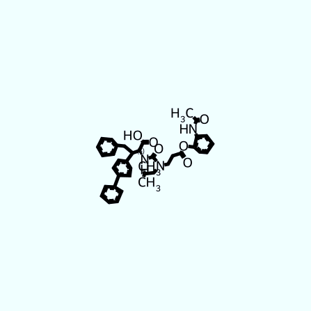 CC(=O)Nc1ccccc1OC(=O)CCN(CC(C)C)C(=O)N[C@H](C(=O)O)C(Cc1ccccc1)c1ccc(-c2ccccc2)cc1